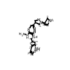 NNc1ncc(-c2cnn(C3CNC3)c2)nc1NCc1cc2[nH]ncc2s1